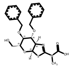 CN(C(=O)O)C1=N[C@@H]2[C@@H](OCc3ccccc3)[C@H](OCc3ccccc3)[C@@H](CO)O[C@@H]2S1